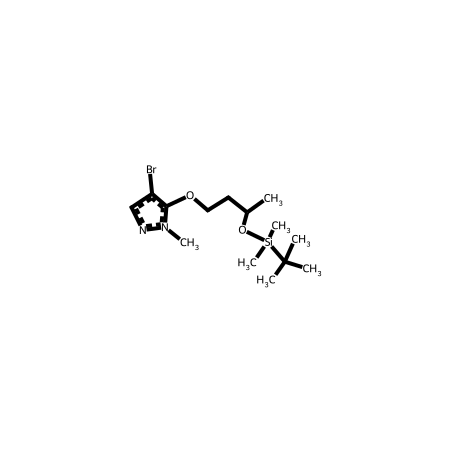 CC(CCOc1c(Br)cnn1C)O[Si](C)(C)C(C)(C)C